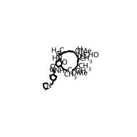 CO[C@H]1/C=C\C=C(/C)C(=O)NC2=CC(=O)C(NC(=O)c3ccc(CN4CCCCC4)cc3)=C(C[C@@H](C)C[C@H](OC)[C@H](O)[C@@H](C)/C=C(\C)[C@@H]1NOC=O)C2=O